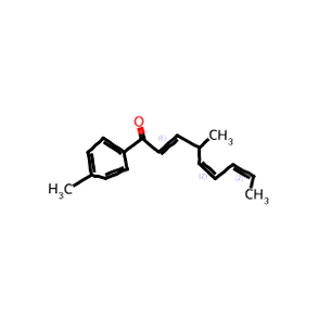 C/C=C\C=C/C(C)/C=C/C(=O)c1ccc(C)cc1